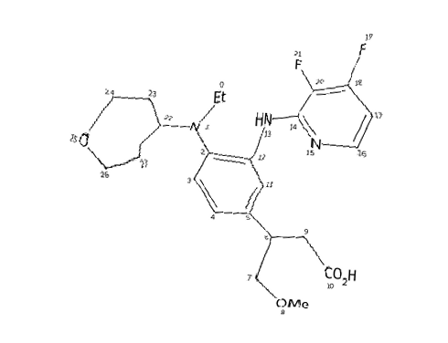 CCN(c1ccc(C(COC)CC(=O)O)cc1Nc1nccc(F)c1F)C1CCOCC1